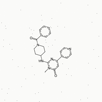 Cn1c(NC2CCN(C(=O)c3ccccc3)CC2)nc(-c2ccncc2)cc1=O